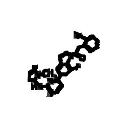 Cn1nccc1Nc1nccc(-c2cc(F)c3c(c2)CCN3C(=O)Cc2ccccc2Br)n1